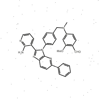 COc1cc(N(C)Cc2ccc(-n3c(-c4cccnc4N)nc4ccc(-c5ccccc5)nc43)cc2)ccc1C=O